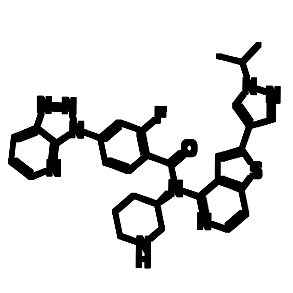 CC(C)n1cc(-c2cc3c(N(C(=O)c4ccc(-n5nnc6cccnc65)cc4F)[C@@H]4CCCNC4)nccc3s2)cn1